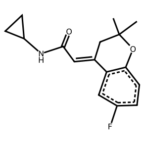 CC1(C)C/C(=C\C(=O)NC2CC2)c2cc(F)ccc2O1